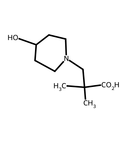 CC(C)(CN1CCC(O)CC1)C(=O)O